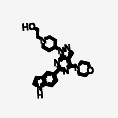 OCCN1CCC(n2ncc3c(N4CCOCC4)nc(-c4ccc5[nH]ccc5c4)nc32)CC1